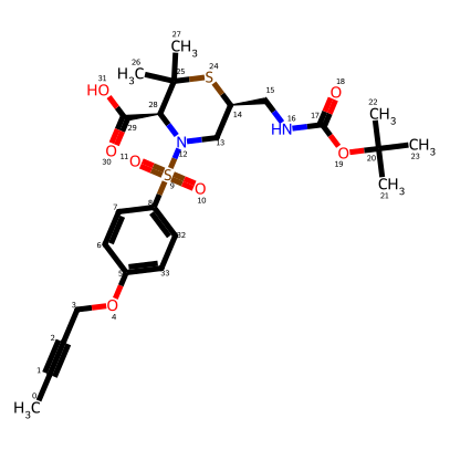 CC#CCOc1ccc(S(=O)(=O)N2C[C@H](CNC(=O)OC(C)(C)C)SC(C)(C)[C@@H]2C(=O)O)cc1